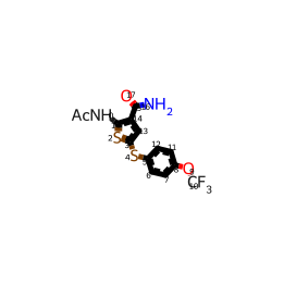 CC(=O)Nc1sc(Sc2ccc(OC(F)(F)F)cc2)cc1C(N)=O